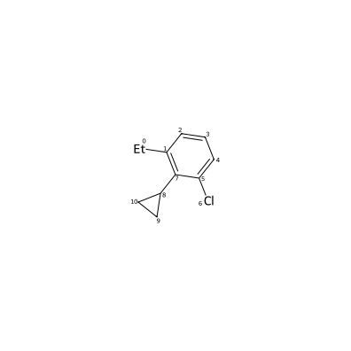 CCc1cccc(Cl)c1C1CC1